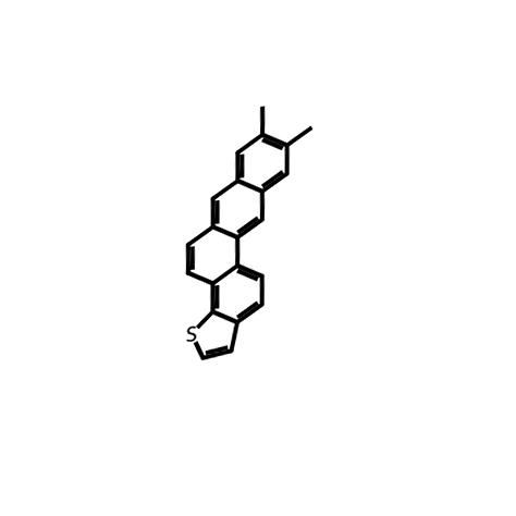 Cc1cc2cc3ccc4c(ccc5ccsc54)c3cc2cc1C